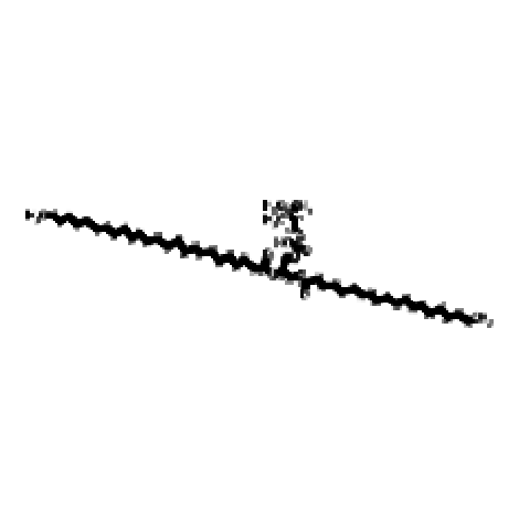 CCCCCCCCCCCCCCCCCCCCCCCCCC(=O)OC(COC(=O)CCCCCCCCCCCCCCCCCCC)COP(=O)(O)OCC[N+](C)(C)C